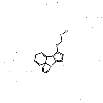 CCOCSc1cnc2n1C1=CCC=CC13C=CC=CN23